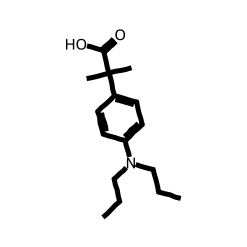 CCCN(CCC)c1ccc(C(C)(C)C(=O)O)cc1